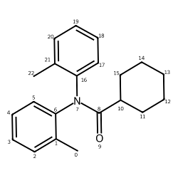 Cc1ccccc1N(C(=O)C1CCCCC1)c1ccccc1C